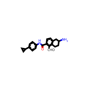 NC1CCc2c(ccc(C(=O)Nc3ccc(C4CC4)cc3)c2C=O)C1